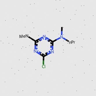 CCCN(C)c1nc(Cl)nc(NC)n1